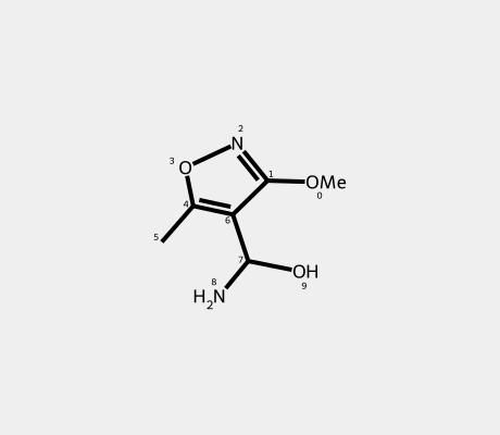 COc1noc(C)c1C(N)O